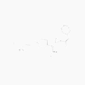 CC(=Cc1ccccc1)C1CC1N(C(=O)OC(C)(C)C)C1CCN(CCOS(C)(=O)=O)CC1